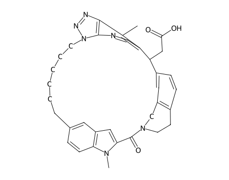 Cc1c2cnc3c1nnn3CCCCCCc1ccc3c(c1)cc(n3C)C(=O)N1CCc3ccc(cc3C1)C2CC(=O)O